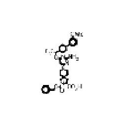 COc1cccc(-c2ccc([C@H](Oc3cc(N4CCC5(CC4)CC(C(=O)O)N(C(=O)OCc4ccccc4)C5)nc(N)n3)C(F)(F)F)cc2)c1